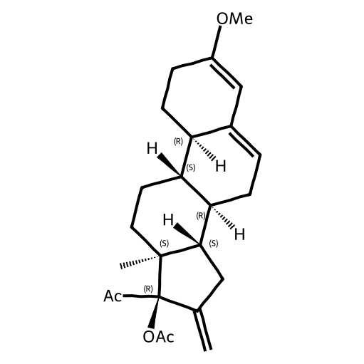 C=C1C[C@H]2[C@@H]3CC=C4C=C(OC)CC[C@@H]4[C@H]3CC[C@]2(C)[C@@]1(OC(C)=O)C(C)=O